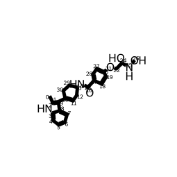 Cc1[nH]c2ccccc2c1C1=CCC(NC(=O)c2ccc(OCC(O)NO)cc2)CC1